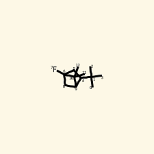 CC(C)(C)C1CC2(F)CC1C2(C)C